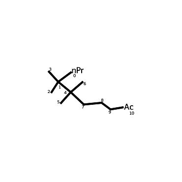 CCCC(C)(C)C(C)(C)CCCC(C)=O